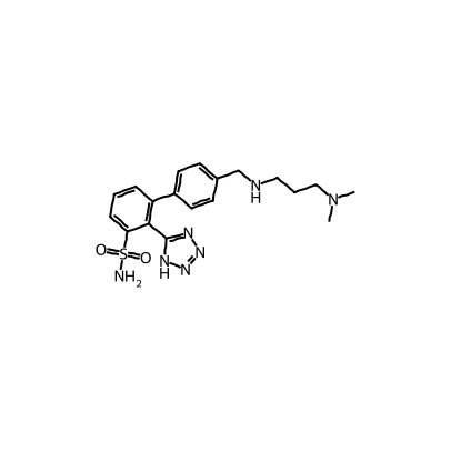 CN(C)CCCNCc1ccc(-c2cccc(S(N)(=O)=O)c2-c2nnn[nH]2)cc1